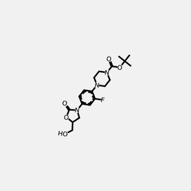 CC(C)(C)OC(=O)N1CCN(c2ccc(N3CC(CO)OC3=O)cc2F)CC1